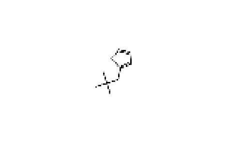 CC(C)(C)Cc1cccs1